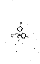 C=CC[Si](CCl)(c1ccc(F)cc1)c1ccc(F)cc1